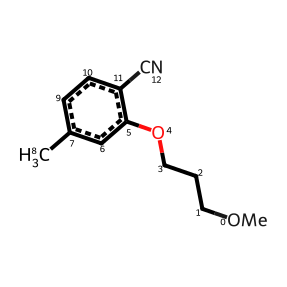 COCCCOc1cc(C)ccc1C#N